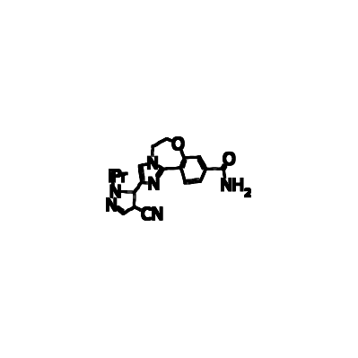 CC(C)N1N=CC(C#N)C1c1cn2c(n1)-c1ccc(C(N)=O)cc1OCC2